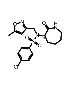 Cc1cc(CN([C@@H]2CCCCNC2=O)S(=O)(=O)c2ccc(Cl)cc2)no1